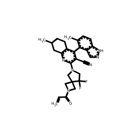 C=CC(=O)N1CC2(C1)CN(c1nc3c(c(-c4c(C)ccc5[nH]ncc45)c1C#N)CCC(C)C3)CC2(F)F